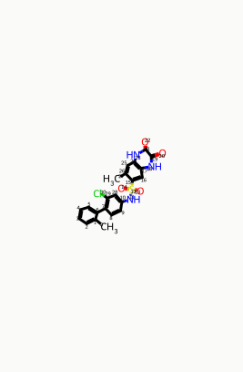 Cc1ccccc1-c1ccc(NS(=O)(=O)c2cc3[nH]c(=O)c(=O)[nH]c3cc2C)cc1Cl